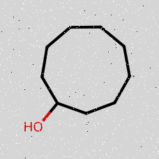 OC1CC[CH]CCCCC1